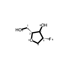 OC[C@H]1OC[C@@H](F)[C]1O